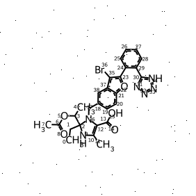 CCC1(C(C)OC(C)=O)NC(C)=C(C(=O)O)N1Cc1ccc2oc(-c3ccccc3-c3nnn[nH]3)c(Br)c2c1